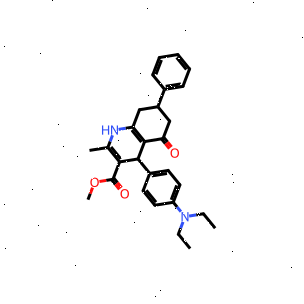 CCN(CC)c1ccc(C2C(C(=O)OC)=C(C)NC3=C2C(=O)CC(c2ccccc2)C3)cc1